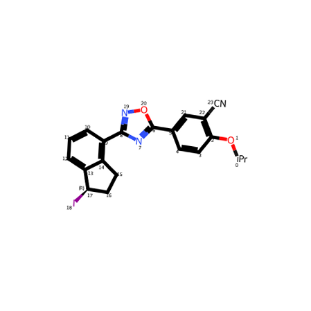 CC(C)Oc1ccc(-c2nc(-c3cccc4c3CC[C@H]4I)no2)cc1C#N